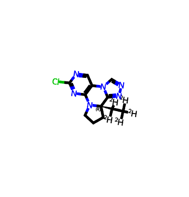 [2H]C([2H])([2H])C([2H])([2H])[C@@]12CCCN1c1nc(Cl)ncc1-n1cnnc12